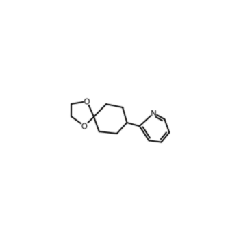 c1ccc(C2CCC3(CC2)OCCO3)nc1